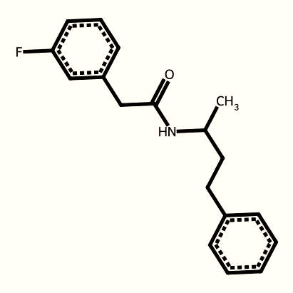 CC(CCc1ccccc1)NC(=O)Cc1cccc(F)c1